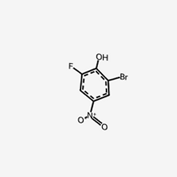 O=[N+]([O-])c1cc(F)c(O)c(Br)c1